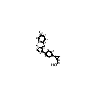 Cn1cnc(-c2ccc(C3CC3CO)cc2)c1Sc1ccc(Cl)cn1